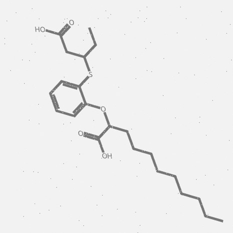 CCCCCCCCCC(Oc1ccccc1SC(CC)CC(=O)O)C(=O)O